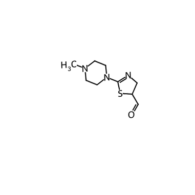 CN1CCN(C2=NCC(C=O)S2)CC1